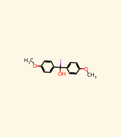 COc1ccc(C(O)(I)c2ccc(OC)cc2)cc1